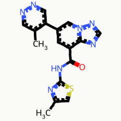 Cc1csc(NC(=O)c2cc(-c3cnncc3C)cn3ncnc23)n1